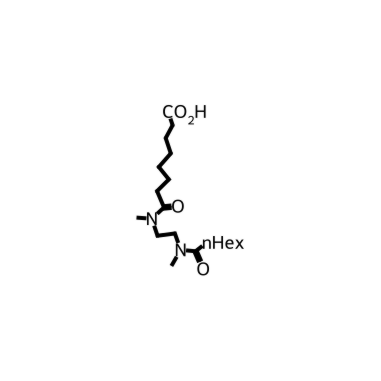 CCCCCCC(=O)N(C)CCN(C)C(=O)CCCCCCC(=O)O